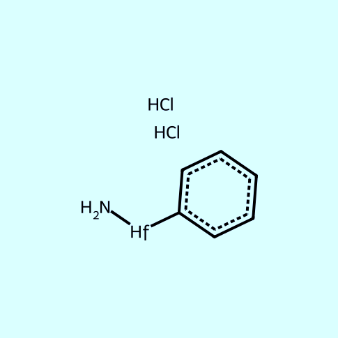 Cl.Cl.[NH2][Hf][c]1ccccc1